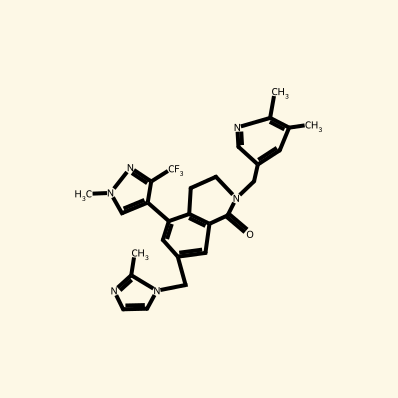 Cc1cc(CN2CCc3c(cc(Cn4ccnc4C)cc3-c3cn(C)nc3C(F)(F)F)C2=O)cnc1C